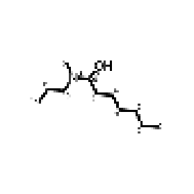 CCCCCCC(O)N(C)CCC